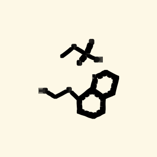 COS(=O)(=O)O.OCOc1cccc2cccnc12